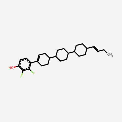 CC/C=C/C1CCC(C2CCC(C3CC=C(c4ccc(O)c(F)c4F)CC3)CC2)CC1